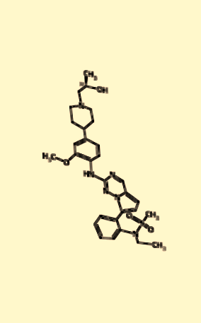 CCN(c1ccccc1-c1ccc2cnc(Nc3ccc(C4CCN(C[C@@H](C)O)CC4)cc3OC)nn12)S(C)(=O)=O